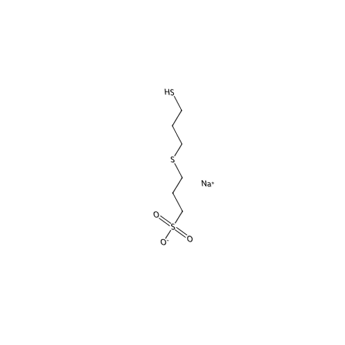 O=S(=O)([O-])CCCSCCCS.[Na+]